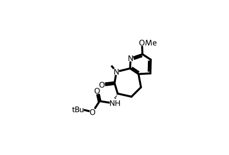 COc1ccc2c(n1)N(C)C(=O)[C@@H](NC(=O)OC(C)(C)C)CC2